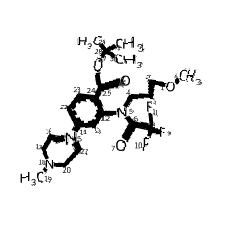 COCCCN(C(=O)C(F)(F)F)c1cc(N2CCN(C)CC2)ccc1C(=O)OC(C)(C)C